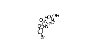 O=C(O)N1CC[C@H]1c1nc2c(oc3ccc(Br)cc32)c(=O)[nH]1